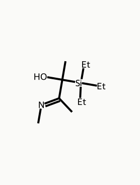 CC[Si](CC)(CC)C(C)(O)C(C)=NC